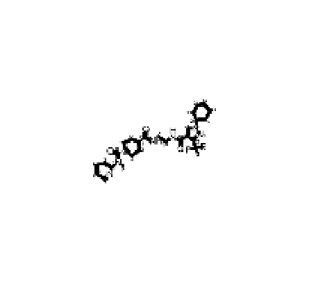 CN(c1ccccn1)C(=O)[C@H]1CC[C@H](C(=O)NCCNC(=O)c2cn(-c3ccccc3)nc2C(F)(F)F)CC1